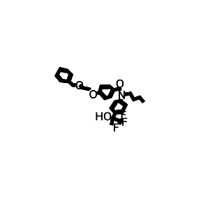 CCCCN(C(=O)c1ccc(OCCOCc2ccccc2)cc1)c1ccc(C(C)(O)C(F)(F)F)cc1